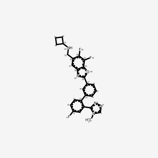 Cn1cnnc1-c1cc(F)ccc1-c1cccc(-c2nc3cc(CNC4CCC4)c(F)c(F)c3o2)c1